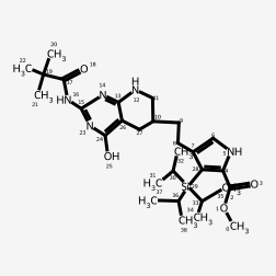 COC(=O)c1[nH]cc(CCC2CNc3nc(NC(=O)C(C)(C)C)nc(O)c3C2)c1[Si](C(C)C)(C(C)C)C(C)C